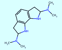 CN(C)C1Cc2ccc3c(c2N1)NC(N(C)C)C3